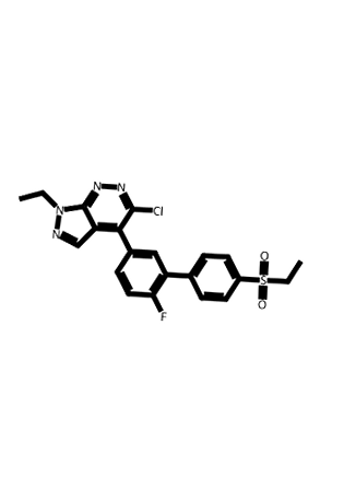 CCn1ncc2c(-c3ccc(F)c(-c4ccc(S(=O)(=O)CC)cc4)c3)c(Cl)nnc21